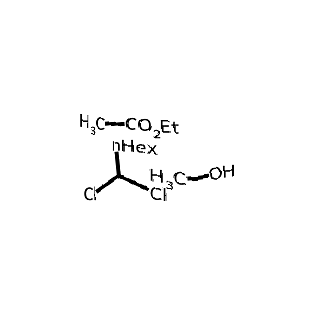 CCCCCCC(Cl)Cl.CCOC(C)=O.CO